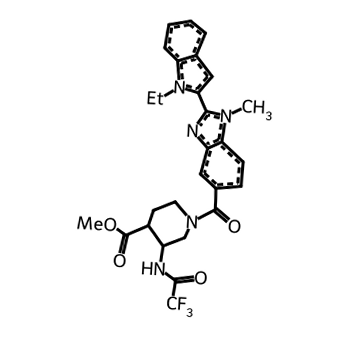 CCn1c(-c2nc3cc(C(=O)N4CCC(C(=O)OC)C(NC(=O)C(F)(F)F)C4)ccc3n2C)cc2ccccc21